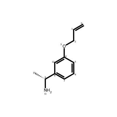 C=CCOc1cccc([C@@H](C)N)c1